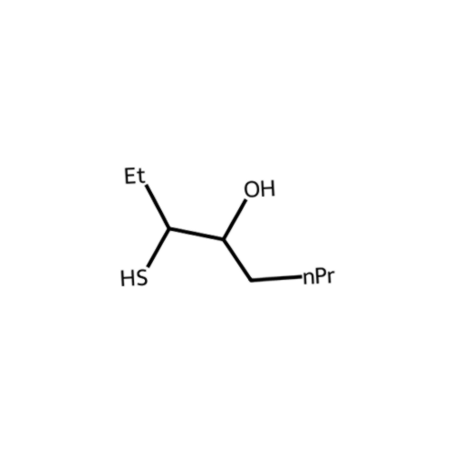 [CH2]CCCC(O)C(S)CC